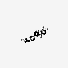 O=C1CCC(Nc2cccc(N3CCN(CC4CNC4)CC3)c2)C(O)N1